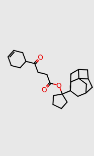 O=C(CCC(=O)C1CC=CCC1)OC1(C23CC4CC5CC(C2)C5(C4)C3)CCCC1